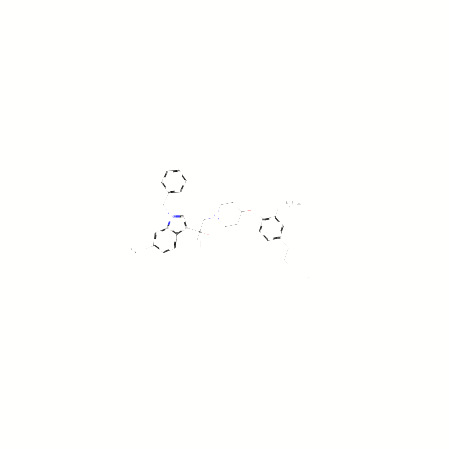 COc1cc(CCC(=O)O)ccc1OC1CCN(CC(O)(c2cn(Cc3ccccc3)c3cc(C#N)ccc23)C(F)(F)F)CC1